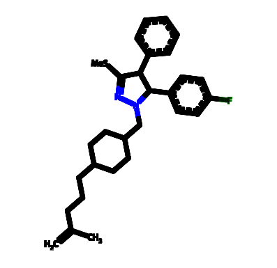 C=C(C)CCCC1CCC(CN2N=C(SC)C(c3ccccc3)C2c2ccc(F)cc2)CC1